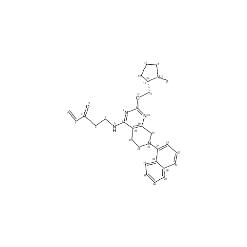 C=CC(=O)CCNc1nc(OC[C@@H]2CCCN2C)nc2c1CCN(c1cccc3ccccc13)C2